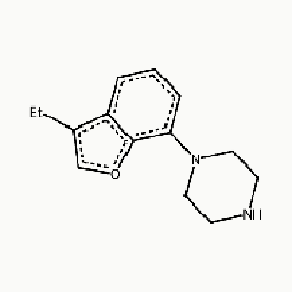 CCc1coc2c(N3CCNCC3)cccc12